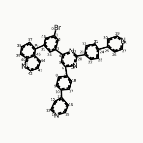 Brc1cc(-c2cc(-c3ccc(-c4ccncc4)cc3)nc(-c3ccc(-c4ccncc4)cc3)n2)cc(-c2cccc3ncccc23)c1